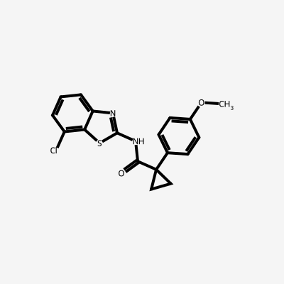 COc1ccc(C2(C(=O)Nc3nc4cccc(Cl)c4s3)CC2)cc1